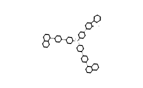 c1ccc2c(-c3ccc(-c4ccc(N(c5ccc(-c6ccc(-c7cccc8ccccc78)cc6)cc5)c5ccc(-c6ccc7c(c6)oc6ccccc67)cc5)cc4)cc3)cccc2c1